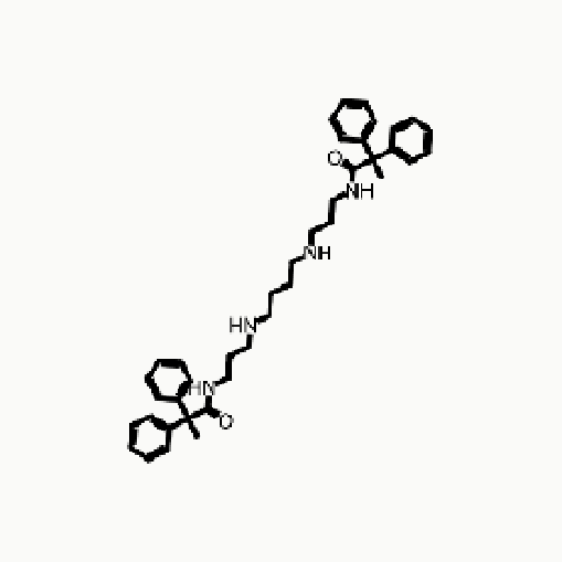 CC(C(=O)NCCCNCCCCNCCCNC(=O)C(C)(c1ccccc1)c1ccccc1)(c1ccccc1)c1ccccc1